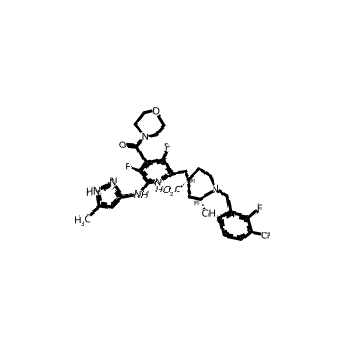 Cc1cc(Nc2nc(C[C@@]3(C(=O)O)CCN(Cc4cccc(Cl)c4F)[C@H](C)C3)c(F)c(C(=O)N3CCOCC3)c2F)n[nH]1